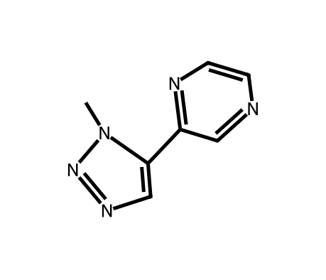 Cn1nncc1-c1cnccn1